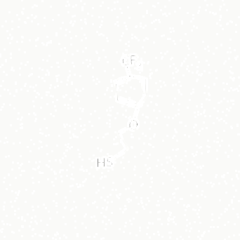 FC(F)(F)c1ccc(OCCS)cc1